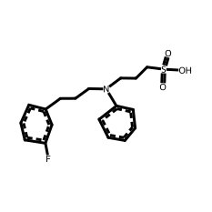 O=S(=O)(O)CCCN(CCCc1cccc(F)c1)c1ccccc1